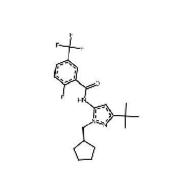 CC(C)(C)c1cc(NC(=O)c2cc(C(F)(F)F)ccc2F)n(CC2CCCC2)n1